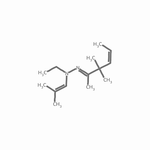 C/C=C\C(C)(C)/C(C)=N/N(C=C(C)C)CC